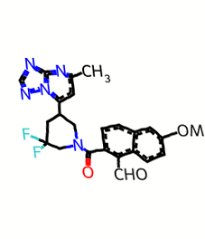 COc1ccc2c(C=O)c(C(=O)N3CC(c4cc(C)nc5ncnn45)CC(F)(F)C3)ccc2c1